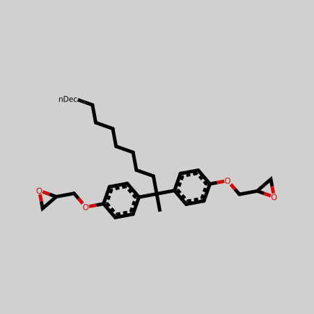 CCCCCCCCCCCCCCCCCC(C)(c1ccc(OCC2CO2)cc1)c1ccc(OCC2CO2)cc1